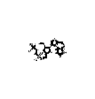 CC[C@@H]1CC(/C=N\S(=O)(=O)CCC(F)(F)F)C[C@@H]1c1cnc2cnc3[nH]ccc3n12